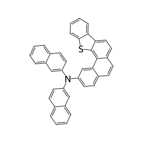 c1ccc2cc(N(c3ccc4ccccc4c3)c3ccc4ccc5ccc6c7ccccc7sc6c5c4c3)ccc2c1